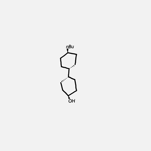 CCCC[C@H]1CC[C@H]([C@H]2CC[C@H](O)CC2)CC1